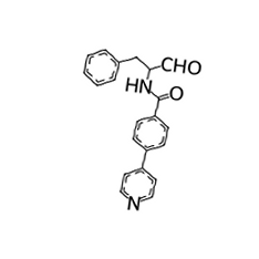 O=CC(Cc1ccccc1)NC(=O)c1ccc(-c2ccncc2)cc1